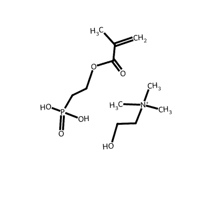 C=C(C)C(=O)OCCP(=O)(O)O.C[N+](C)(C)CCO